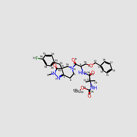 CN1N=C2CCN(C(=O)C(COCc3ccccc3)NC(=O)C(C)(C)NC(=O)OC(C)(C)C)CC2(Cc2ccc(F)cc2)C1=O